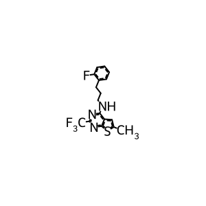 Cc1cc2c(NCCCc3ccccc3F)nc(C(F)(F)F)nc2s1